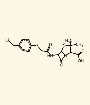 CC1(C)SC2C(NC(=O)CSc3ccc(CCl)cc3)C(=O)N2C1C(=O)O